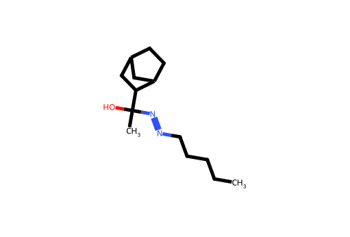 CCCCCN=NC(C)(O)C1CC2CCC1C2